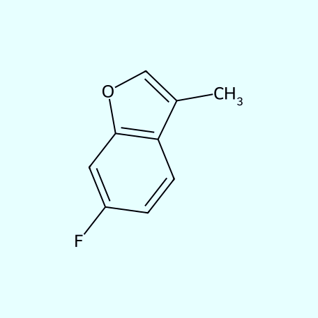 Cc1coc2cc(F)ccc12